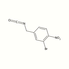 O=C=NCc1ccc([N+](=O)[O-])c(Br)c1